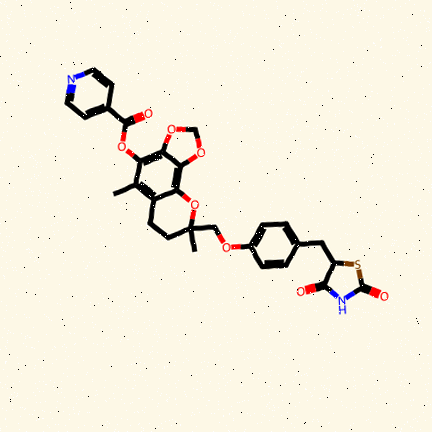 Cc1c2c(c3c(c1OC(=O)c1ccncc1)OCO3)OC(C)(COc1ccc(CC3SC(=O)NC3=O)cc1)CC2